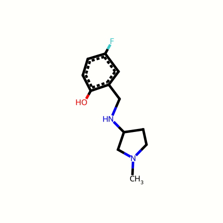 CN1CCC(NCc2cc(F)ccc2O)C1